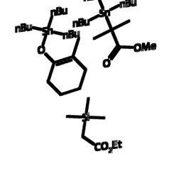 CCC[CH2][Sn]([CH2]CCC)([CH2]CCC)[C](C)(C)C(=O)OC.CCC[CH2][Sn]([CH2]CCC)([CH2]CCC)[O]C1=C(C)CCCC1.CCOC(=O)C[Si](C)(C)C